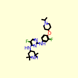 CC(C)N1CCC(Oc2ccc(Nc3ncc(F)c(NC4CC(C)(C)NC(C)(C)C4)n3)cc2F)CC1